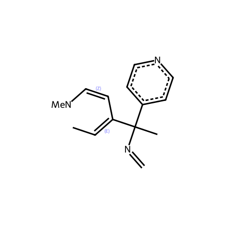 C=NC(C)(C(/C=C\NC)=C/C)c1ccncc1